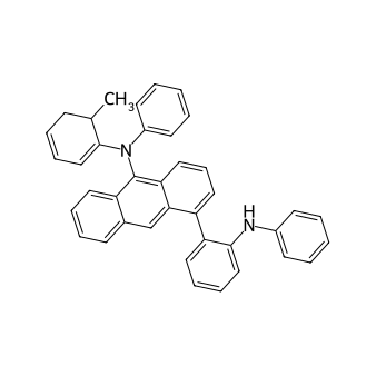 CC1CC=CC=C1N(c1ccccc1)c1c2ccccc2cc2c(-c3ccccc3Nc3ccccc3)cccc12